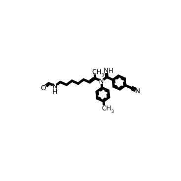 C/C(=C\CCCCCNC=O)N(C(=N)c1ccc(C#N)cc1)c1ccc(C)cc1